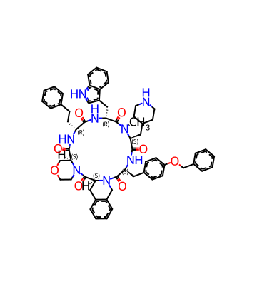 CN1C(=O)[C@@H](Cc2c[nH]c3ccccc23)NC(=O)[C@@H](CCc2ccccc2)NC(=O)[C@@H]2COCCN2C(=O)[C@@H]2Cc3ccccc3CN2C(=O)[C@H](Cc2ccc(OCc3ccccc3)cc2)NC(=O)[C@@H]1CC1CCNCC1